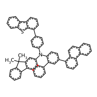 CC1(C)c2ccccc2-c2ccc(N(c3ccc(-c4cccc5c4sc4ccccc45)cc3)c3ccc(-c4cccc5c4ccc4ccccc45)cc3-c3ccccc3)cc21